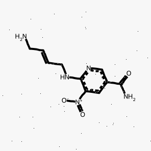 NCC=CCNc1ncc(C(N)=O)cc1[N+](=O)[O-]